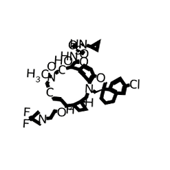 CN1CC/C=C/[C@H](OCCN2CC(F)(F)C2)[C@@H]2CC[C@H]2CN2C[C@@]3(CCCc4cc(Cl)ccc43)COc3ccc(cc32)[C@@](O)(C(=O)NS(=O)(=O)NC2CC2)CC1=O